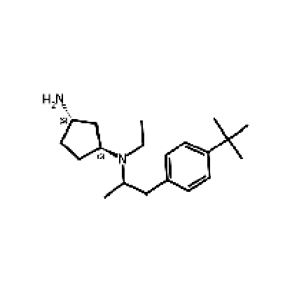 CCN(C(C)Cc1ccc(C(C)(C)C)cc1)[C@H]1CC[C@H](N)C1